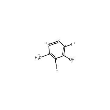 Cc1ncc(I)c(O)c1I